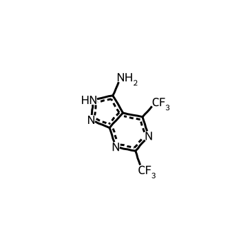 Nc1[nH]nc2nc(C(F)(F)F)nc(C(F)(F)F)c12